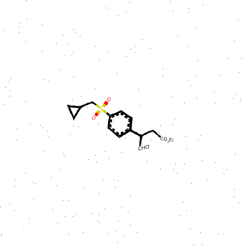 CCOC(=O)CC(C=O)c1ccc(S(=O)(=O)CC2CC2)cc1